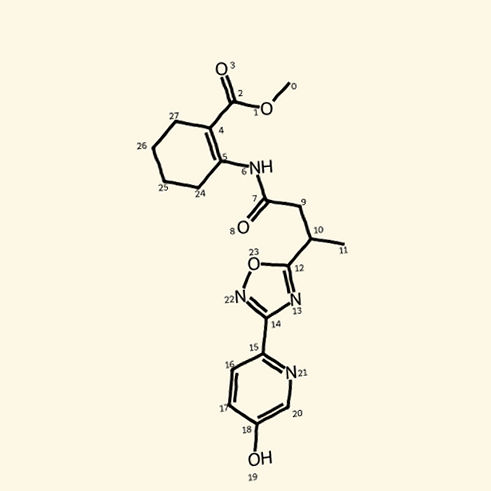 COC(=O)C1=C(NC(=O)CC(C)c2nc(-c3ccc(O)cn3)no2)CCCC1